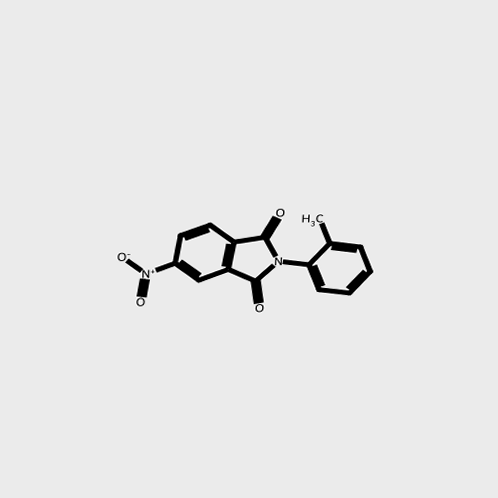 Cc1ccccc1N1C(=O)c2ccc([N+](=O)[O-])cc2C1=O